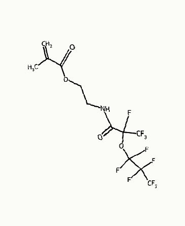 C=C(C)C(=O)OCCNC(=O)C(F)(OC(F)(F)C(F)(F)C(F)(F)F)C(F)(F)F